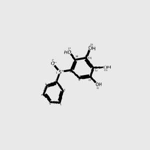 [O-][S+](c1ccccc1)c1cc(O)c(O)c(O)c1O